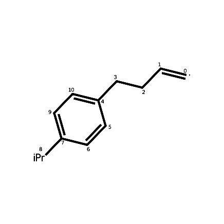 [CH]=CCCc1ccc(C(C)C)cc1